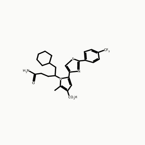 Cc1c(C(=O)O)cc(-c2csc(-c3ccc(C(F)(F)F)cc3)n2)n1C(CCC(N)=O)CC1CCCCC1